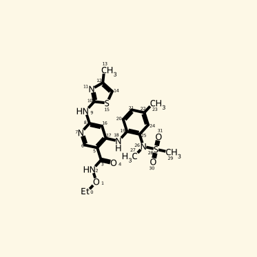 CCONC(=O)c1cnc(Nc2nc(C)cs2)cc1Nc1ccc(C)cc1N(C)S(C)(=O)=O